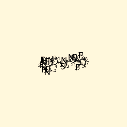 CC1=C(C2CC(c3nc(C4=NO[C@@H](c5c(F)cccc5F)C4)cs3)CCN2)C(C(F)(F)F)=N[N]1